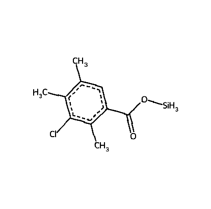 Cc1cc(C(=O)O[SiH3])c(C)c(Cl)c1C